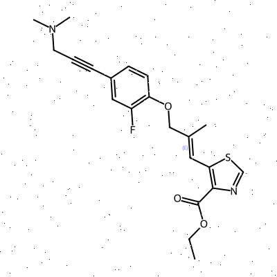 CCOC(=O)c1ncsc1/C=C(\C)COc1ccc(C#CCN(C)C)cc1F